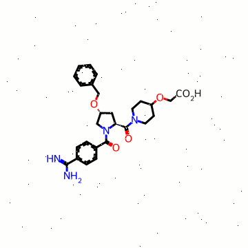 N=C(N)c1ccc(C(=O)N2C[C@H](OCc3ccccc3)C[C@H]2C(=O)N2CCC(OCC(=O)O)CC2)cc1